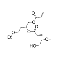 C=CC(=O)OCC(CCOCC)OC(=O)C=C.OCCO